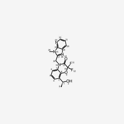 C[C@H](O)c1cccc2c1OC(F)(F)C(=O)N2Cc1nc2cccnc2n1C